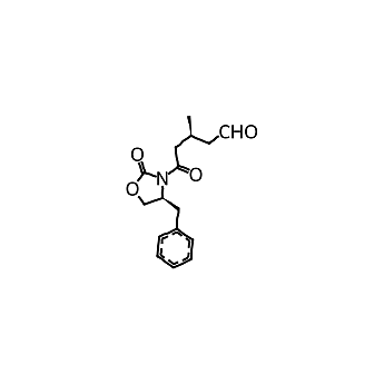 C[C@@H](CC=O)CC(=O)N1C(=O)OC[C@@H]1Cc1ccccc1